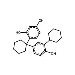 Oc1ccc(C2(c3ccc(O)c(C4CCCCC4)c3)CCCCC2)c(O)c1